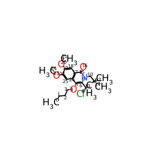 CCCCOc1c(CCl)n(CC(C)(C)C)c(=O)c2cc(OC)c(OC)cc12